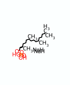 C/C(=C\C(=O)OP(=O)(O)O)CCC[C@H](C)CCC[C@H](C)CCCC(C)C.[NaH].[NaH]